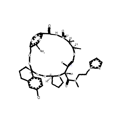 C[C@@H]1[C@@H](C)C/C=C(\F)[C@H](C(=O)N(C)CCn2cccn2)N2CCC[C@H]2CC[C@@]2(CCCc3cc(Cl)ccc32)COc2ccc(cc2N)C(=O)NS1(=O)=O